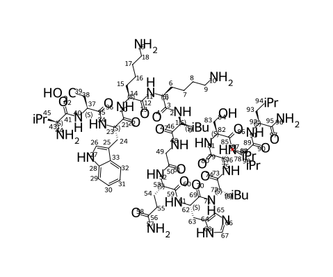 CC[C@H](C)[C@H](NC(=O)[C@H](CCCCN)NC(=O)[C@H](CCCCN)NC(=O)[C@H](Cc1c[nH]c2ccccc12)NC(=O)[C@H](CC(=O)O)NC(=O)[C@@H](N)C(C)C)C(=O)NCC(=O)N[C@@H](CCC(N)=O)C(=O)N[C@@H](Cc1cnc[nH]1)C(=O)N[C@H](C(=O)N[C@@H](CC(C)C)C(=O)N[C@@H](CO)C(=O)N[C@H](C(=O)N[C@@H](CC(C)C)C(N)=O)C(C)C)[C@@H](C)CC